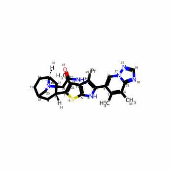 Cc1c(-c2[nH]c3sc([C@@H]4CC5CC[C@@H](C4)N(CC(N)=O)C5)c(C)c3c2C(C)C)cn2ncnc2c1C